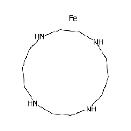 C1CNCCNCCCNCCNC1.[Fe]